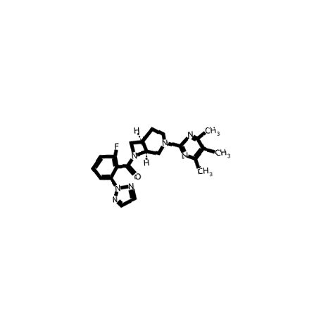 Cc1nc(N2CC[C@@H]3CN(C(=O)c4c(F)cccc4-n4nccn4)[C@@H]3C2)nc(C)c1C